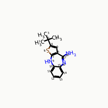 CC(C)(C)c1cc2c(s1)Nc1ccccc1N=C2N